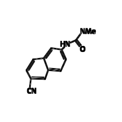 CNC(=O)Nc1ccc2cc(C#N)ccc2c1